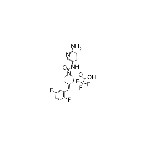 Nc1ccc(NC(=O)N2CCC(=Cc3cc(F)ccc3F)CC2)cn1.O=C(O)C(F)(F)F